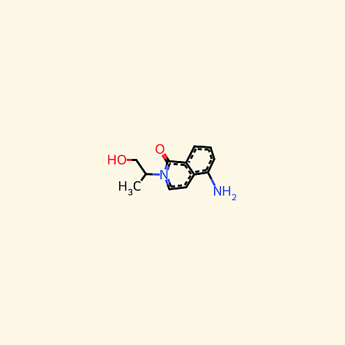 CC(CO)n1ccc2c(N)cccc2c1=O